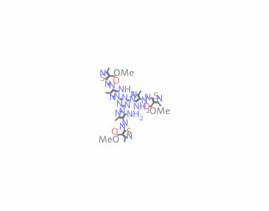 COC(=O)c1c(C)nsc1/N=N/c1c(C)nn(-c2nc(-n3nc(C)c(/N=N/c4snc(C)c4C(=O)OC)c3N)nc(-n3nc(C)c(/N=N/c4snc(C)c4C(=O)OC)c3N)n2)c1N